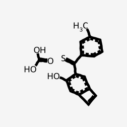 Cc1cccc(C(=S)c2cc3c(cc2O)C=C3)c1.O=C(O)O